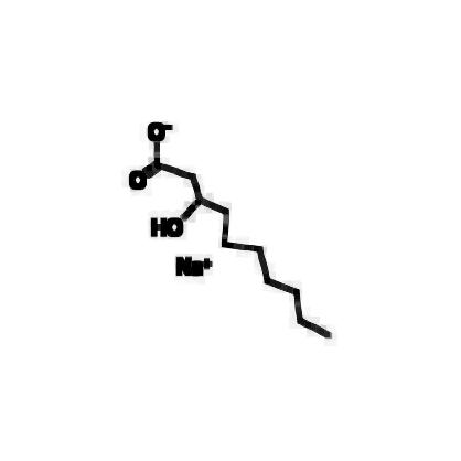 CCCCCCCC(O)CC(=O)[O-].[Na+]